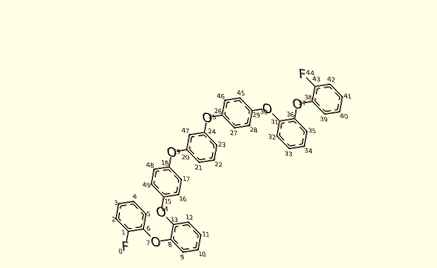 Fc1ccccc1Oc1ccccc1Oc1ccc(Oc2cccc(Oc3ccc(Oc4ccccc4Oc4ccccc4F)cc3)c2)cc1